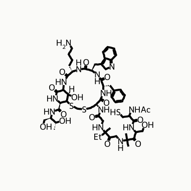 CCC(C)(NCC(=O)N[C@H]1CSCSC2[C@H](O)C(NC(=O)[C@H](CCCCN)NC(=O)[C@@H](CC3=c4ccccc4=NC3)NC(=O)[C@H](Cc3ccccc3)NC1=O)C(=O)N[C@@H]2C(=O)N[C@H](CO)[C@@H](C)O)C(=O)CNC(C)(C)C(=O)C(CO)NC(=O)C(CS)NC(C)=O